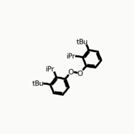 CC(C)c1c(OOc2cccc(C(C)(C)C)c2C(C)C)cccc1C(C)(C)C